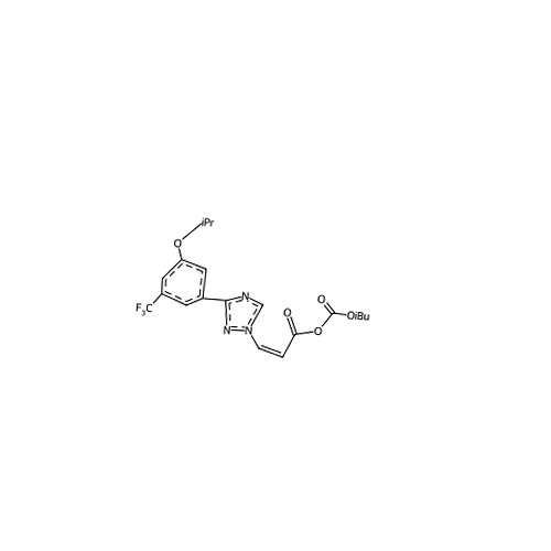 CC(C)COC(=O)OC(=O)/C=C\n1cnc(-c2cc(OC(C)C)cc(C(F)(F)F)c2)n1